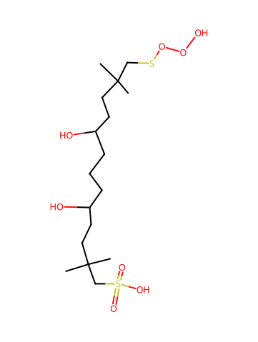 CC(C)(CCC(O)CCCC(O)CCC(C)(C)CS(=O)(=O)O)CSOOO